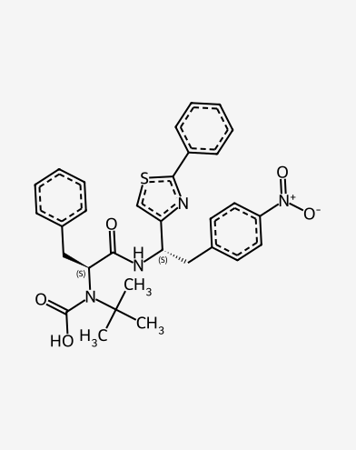 CC(C)(C)N(C(=O)O)[C@@H](Cc1ccccc1)C(=O)N[C@@H](Cc1ccc([N+](=O)[O-])cc1)c1csc(-c2ccccc2)n1